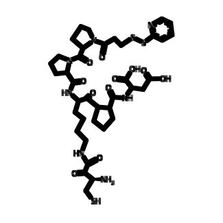 N[C@@H](CS)C(=O)C(=O)NCCCCC(NC(=O)C1CCCN1C(=O)C1CCCN1C(=O)CCSSc1ccccn1)C(=O)C1CCCC1C(=O)NC(CC(=O)O)C(=O)O